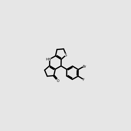 O=C1CCC2=C1C(c1ccc(F)c(Br)c1)C1=C(CCS1)N2